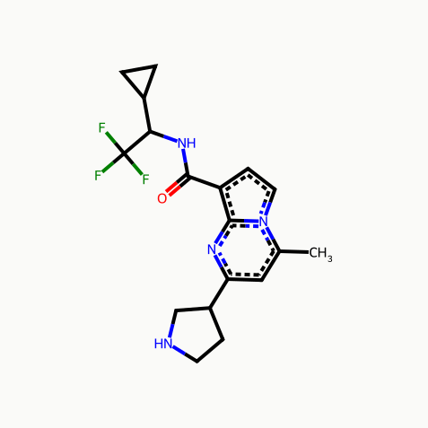 Cc1cc(C2CCNC2)nc2c(C(=O)NC(C3CC3)C(F)(F)F)ccn12